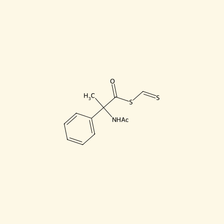 CC(=O)NC(C)(C(=O)SC=S)c1ccccc1